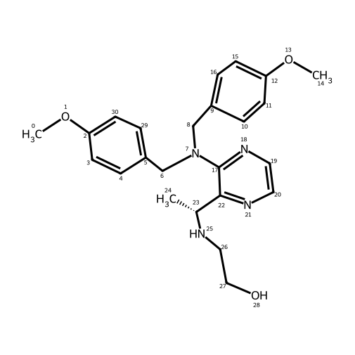 COc1ccc(CN(Cc2ccc(OC)cc2)c2nccnc2[C@@H](C)NCCO)cc1